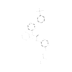 O=C(Nc1cc(OCC(O)CO)ncn1)N1c2nc(-c3cccc(C(F)(F)F)c3)ncc2N2CCC[C@H]1C2